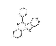 c1ccc(-c2nc3ccccc3c3oc4ccccc4c23)cc1